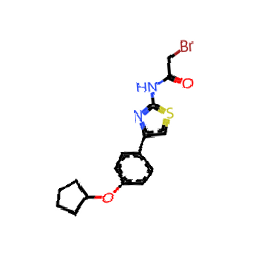 O=C(CBr)Nc1nc(-c2ccc(OC3CCCC3)cc2)cs1